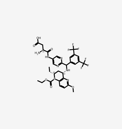 CCOC(=O)N1c2ccc(OC)nc2[C@@H](NC(c2cc(C(F)(F)F)cc(C(F)(F)F)c2)c2ncc(NC(=O)[C@@H](N)CC(=O)O)cn2)C[C@H]1CC